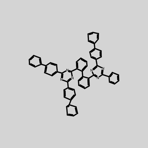 c1ccc(-c2ccc(-c3nc(-c4ccccc4)nc(-c4ccccc4-c4ccccc4-c4nc(-c5ccc(-c6ccccc6)cc5)nc(-c5ccc(-c6ccccc6)cc5)n4)n3)cc2)cc1